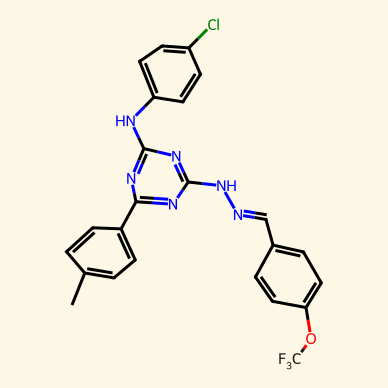 Cc1ccc(-c2nc(N/N=C/c3ccc(OC(F)(F)F)cc3)nc(Nc3ccc(Cl)cc3)n2)cc1